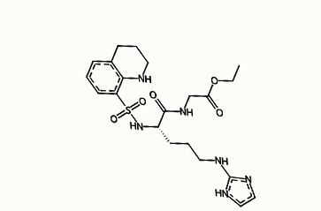 CCOC(=O)CNC(=O)[C@H](CCCNc1ncc[nH]1)NS(=O)(=O)c1cccc2c1NCCC2